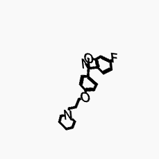 Fc1ccc2c(-c3ccc(OCCCN4CCCCC4)cc3)noc2c1